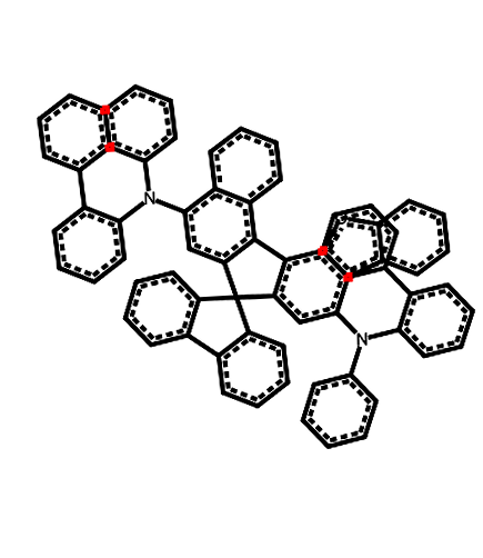 c1ccc(-c2ccccc2N(c2ccccc2)c2cc3c(c4ccccc24)-c2c(cc(N(c4ccccc4)c4ccccc4-c4ccccc4)c4c2oc2ccccc24)C32c3ccccc3-c3ccccc32)cc1